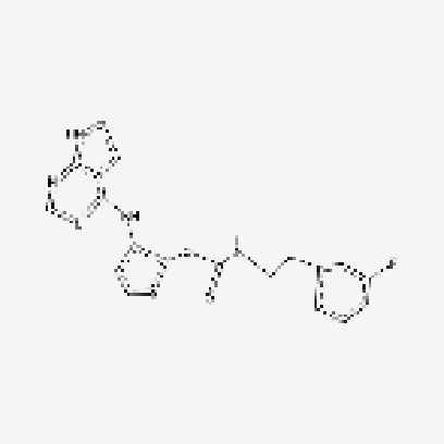 O=C(NCCc1cccc(F)c1)Oc1sccc1Nc1ncnc2[nH]ccc12